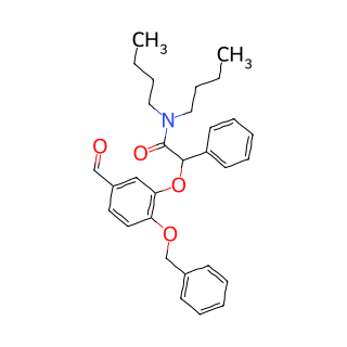 CCCCN(CCCC)C(=O)C(Oc1cc(C=O)ccc1OCc1ccccc1)c1ccccc1